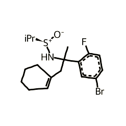 CC(C)[S@@+]([O-])NC(C)(CC1=CCCCC1)c1cc(Br)ccc1F